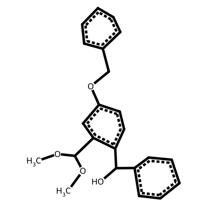 COC(OC)c1cc(OCc2ccccc2)ccc1C(O)c1ccccc1